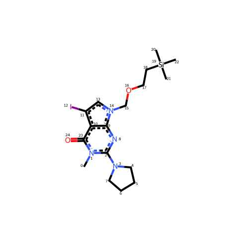 Cn1c(N2CCCC2)nc2c(c(I)cn2COCC[Si](C)(C)C)c1=O